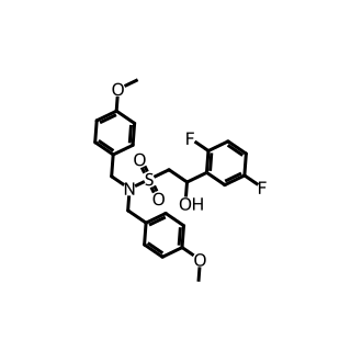 COc1ccc(CN(Cc2ccc(OC)cc2)S(=O)(=O)CC(O)c2cc(F)ccc2F)cc1